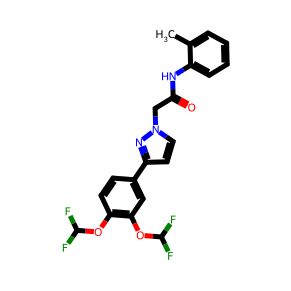 Cc1ccccc1NC(=O)Cn1ccc(-c2ccc(OC(F)F)c(OC(F)F)c2)n1